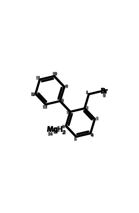 BrCc1ccccc1-c1ccccc1.[MgH2]